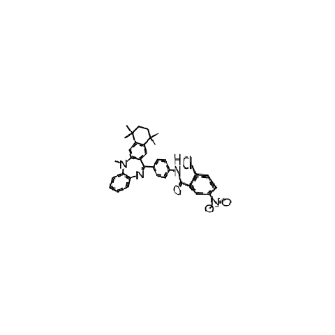 CN1c2ccccc2N=C(c2ccc(NC(=O)c3cc([N+](=O)[O-])ccc3Cl)cc2)c2cc3c(cc21)C(C)(C)CCC3(C)C